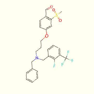 CS(=O)(=O)c1cc(OCCCN(Cc2ccccc2)Cc2cccc(C(F)(F)F)c2F)ccc1C=O